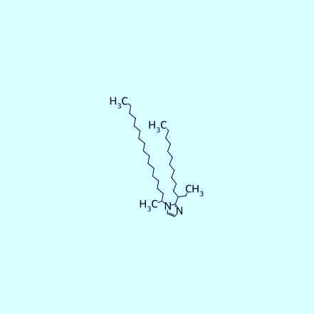 CCCCCCCCCCCCCCCCC(C)n1ccnc1C(CC)CCCCCCCCCCC